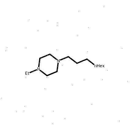 CCCCCCCCCN1CCN(CC)CC1